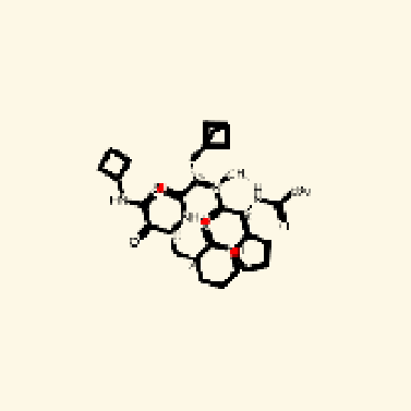 CN(C(=O)[C@H](NC(=O)C(C)(C)C)C1CCCC1)[C@@H](CC12CC(C1)C2)C(=O)N[C@@H](C[C@@H]1CCCNC1=O)C(=O)C(=O)NC1CCC1